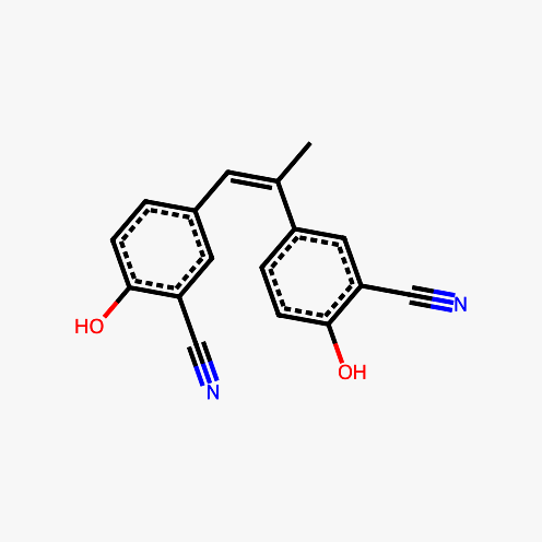 CC(=Cc1ccc(O)c(C#N)c1)c1ccc(O)c(C#N)c1